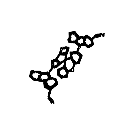 N#Cc1ccc2c(c1)c1ccccc1n2-c1ccc2c(c1)C1(c3ccccc3O2)c2cccnc2-c2ncc(-n3c4ccccc4c4cc(C#N)ccc43)cc21